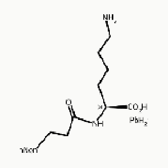 CCCCCCCCCCCC(=O)N[C@@H](CCCCN)C(=O)O.[PbH2]